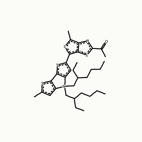 CCCCC(CC)C[Si]1(CC(CC)CCCC)c2cc(C)sc2-c2sc(-c3sc(C)c4nc(C(C)=O)sc34)cc21